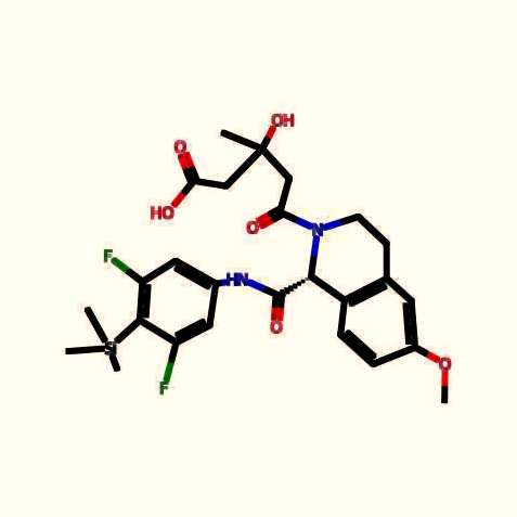 COc1ccc2c(c1)CCN(C(=O)CC(C)(O)CC(=O)O)[C@H]2C(=O)Nc1cc(F)c([Si](C)(C)C)c(F)c1